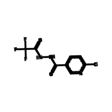 O=C(NNC(=O)C(F)(F)F)c1ccc(Cl)nc1